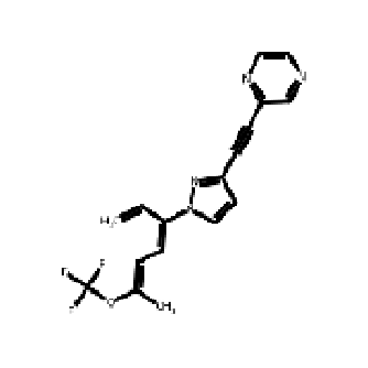 C=C/C(=C\C=C(/C)OC(F)(F)F)n1ccc(C#Cc2cnccn2)n1